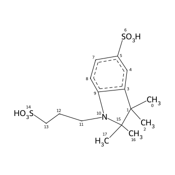 CC1(C)c2cc(S(=O)(=O)O)ccc2N(CCCS(=O)(=O)O)C1(C)C